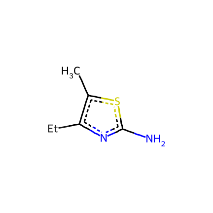 CCc1nc(N)sc1C